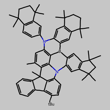 Cc1cc2c3c4c1C1(C)c5ccccc5-c5c(C(C)(C)C)ccc(c51)N4c1cc4c(cc1B3c1cc3c(cc1N2c1ccc2c(c1)C(C)(C)CCC2(C)C)C(C)(C)CCC3(C)C)C(C)(C)CC4(C)C